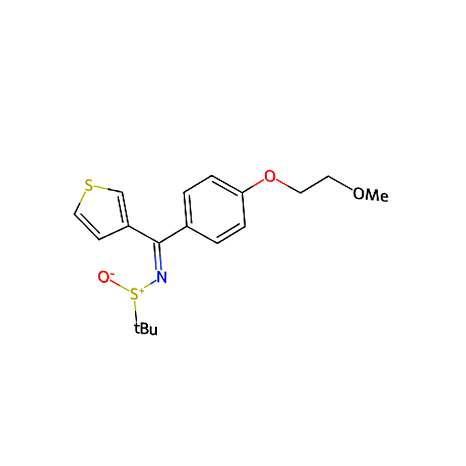 COCCOc1ccc(C(=N[S+]([O-])C(C)(C)C)c2ccsc2)cc1